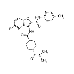 Cc1ccc(NC(=O)c2oc3ccc(F)nc3c2NC(=O)[C@H]2CC[C@H](C(=O)N(C)C)CC2)nc1